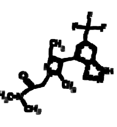 Cc1nn(CC(=O)N(C)C)c(C)c1-c1cc(C(F)(F)F)cc2[nH]ncc12